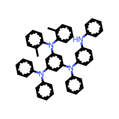 Cc1ccccc1N(c1cc(N(c2ccccc2)c2ccccc2)cc(N(c2ccccc2)c2cccc(Nc3ccccc3)c2)c1)c1ccccc1C